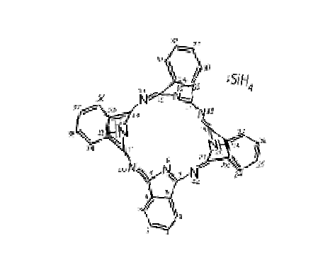 [SiH4].c1ccc2c(c1)-c1nc-2nc2[nH]c(nc3nc(nc4[nH]c(n1)c1ccccc41)-c1ccccc1-3)c1ccccc21